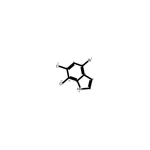 Clc1cc(Br)c2cc[nH]c2c1Cl